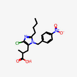 CCCCc1nc(Cl)c(CC(C)C(=O)O)n1Cc1ccc([N+](=O)[O-])cc1